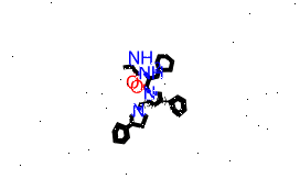 CC(N)C(=O)NC(CC1CCCCC1)C(=O)N1C[C@@H](c2ccccc2)C[C@H]1CN1CCC(c2ccccc2)C1